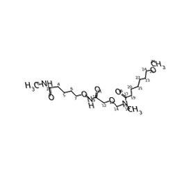 CNC(=O)CCCCONC(=O)COCN(C)C(=O)CCCCCCOC